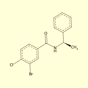 C[C@@H](NC(=O)c1ccc(Cl)c(Br)c1)c1ccccc1